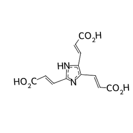 O=C(O)C=Cc1nc(C=CC(=O)O)c(C=CC(=O)O)[nH]1